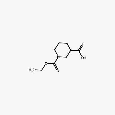 CCOC(=O)N1CCCC(C(=O)O)C1